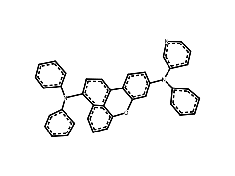 c1ccc(N(c2cccnc2)c2ccc3c(c2)Oc2cccc4c(N(c5ccccc5)c5ccccc5)ccc-3c24)cc1